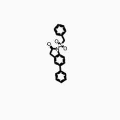 O=C1Cc2cc(-c3ccccc3)ccc2N1S(=O)(=O)Cc1ccccc1